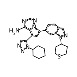 Nc1ncnn2c(-c3ccc4cnn(C5CCSCC5)c4c3)cc(-c3cnnn3C3CCCCC3)c12